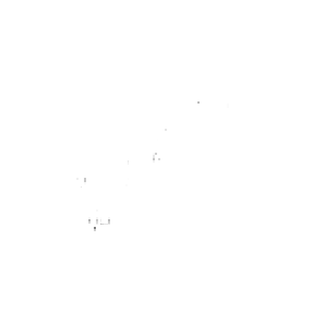 CNC(=O)CON=C(C)c1cccs1